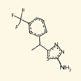 CC(c1cccc(C(F)(F)F)c1)c1nnc(N)s1